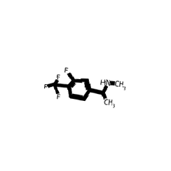 CNC(C)c1ccc(C(F)(F)F)c(F)c1